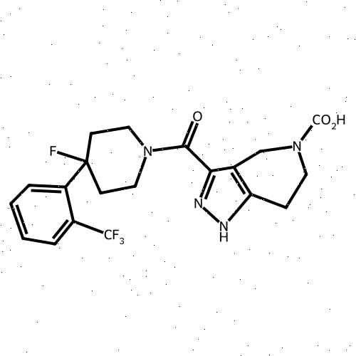 O=C(O)N1CCc2[nH]nc(C(=O)N3CCC(F)(c4ccccc4C(F)(F)F)CC3)c2C1